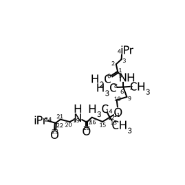 C=C(CCC(C)C)NC(C)(C)CCOC(C)(C)CCC(=O)NCCC(=O)C(C)C